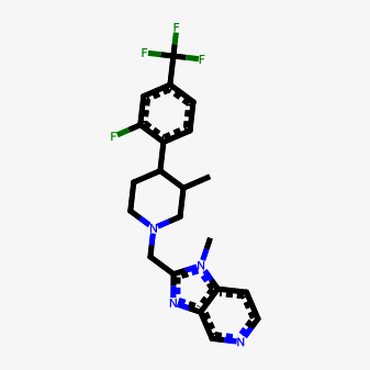 CC1CN(Cc2nc3cnccc3n2C)CCC1c1ccc(C(F)(F)F)cc1F